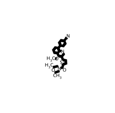 COc1c(-c2ccc(C(=O)N3C[C@@H](C)O[C@@H](C)C3)s2)cnc2c(-c3ccc(C#N)cc3)cccc12